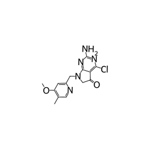 COc1cc(CN2CC(=O)c3c(Cl)nc(N)nc32)ncc1C